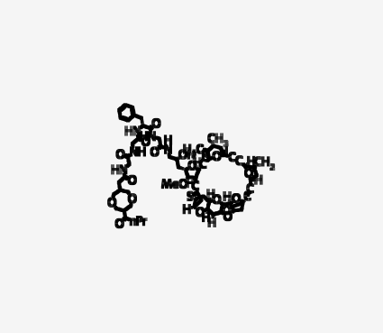 C=C1C[C@@H]2CC[C@@]34CC5OC6C(O[C@H]7CC[C@H](CC(=S)C[C@@H]8[C@@H](OC)[C@@H](C[C@H](O)CNC(=O)CNC(=O)[C@H](Cc9ccccc9)NC(=O)CNC(=O)CNC(=O)CC9COCC(C(=O)CCC)COC9)O[C@H]8C[C@H]8O[C@@H](CC[C@@H]1O2)C[C@@H](C)C8=C)O[C@@H]7[C@@H]6O3)[C@H]5O4